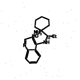 CC[C@@H](Nc1c(N)cnc2ccccc12)C1(O)CCCCC1